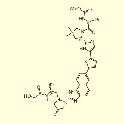 COC(=O)N[C@H](C(=O)N1C[Si](C)(C)C[C@H]1c1ncc(-c2ccc(-c3ccc4c(ccc5nc([C@@H]6C[C@@H](F)CN6C[C@@H](NC(=O)CO)C(C)C)[nH]c54)c3)s2)[nH]1)C(C)C